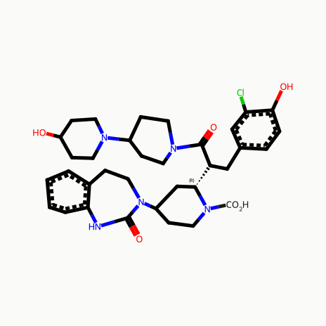 O=C(C(Cc1ccc(O)c(Cl)c1)[C@H]1CC(N2CCc3ccccc3NC2=O)CCN1C(=O)O)N1CCC(N2CCC(O)CC2)CC1